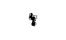 CCOC(=O)[C@@H](C)Oc1cc(Cl)nc(SCc2cccc(F)c2F)c1